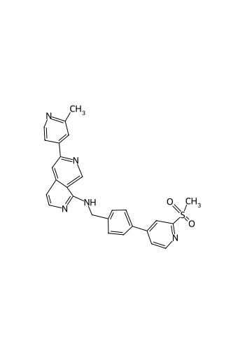 Cc1cc(-c2cc3ccnc(NCc4ccc(-c5ccnc(S(C)(=O)=O)c5)cc4)c3cn2)ccn1